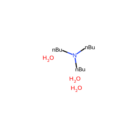 CCCCN(CCCC)CCCC.O.O.O